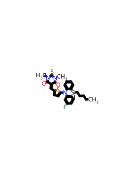 CCCCC[SiH]1c2ccccc2N(c2ccc(C=C3C(=O)N(C)C(=S)N(C)C3=O)s2)c2cc(F)ccc21